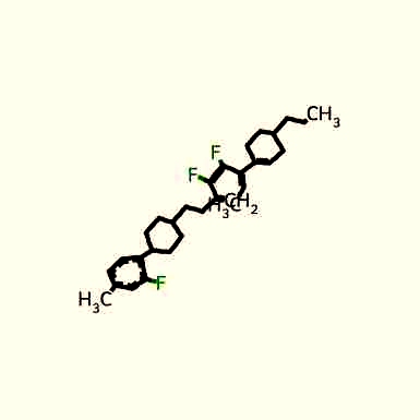 C=C(CCC1CCC(c2ccc(C)cc2F)CC1)/C(F)=C(F)\C(=C/C)C1=CCC(CCC)CC1